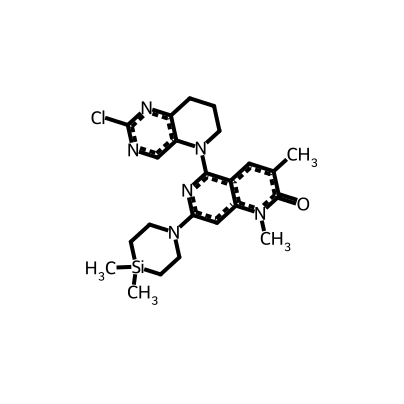 Cc1cc2c(N3CCCc4nc(Cl)ncc43)nc(N3CC[Si](C)(C)CC3)cc2n(C)c1=O